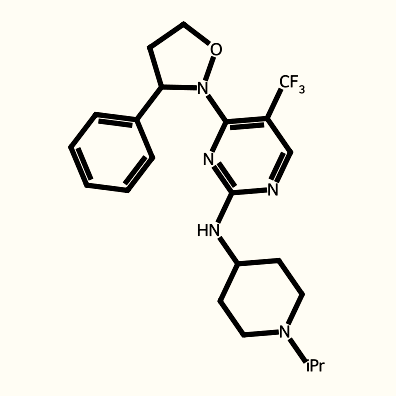 CC(C)N1CCC(Nc2ncc(C(F)(F)F)c(N3OCCC3c3ccccc3)n2)CC1